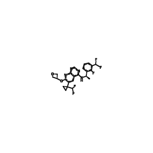 C[C@@H](Nc1ncnc2nc(OC3COC3)c(C3(C(F)F)CC3)cc12)c1cccc(C(F)F)c1F